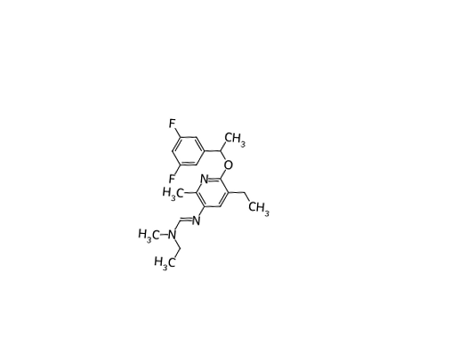 CCc1cc(/N=C/N(C)CC)c(C)nc1OC(C)c1cc(F)cc(F)c1